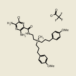 COc1ccc(CCC[N+](C)(CCCc2ccc(OC)cc2)CCNC(=O)c2nc(Cl)c(N)nc2N)cc1.O=C([O-])C(F)(F)F